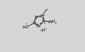 Cn1cc(O)nc1N.[H+]